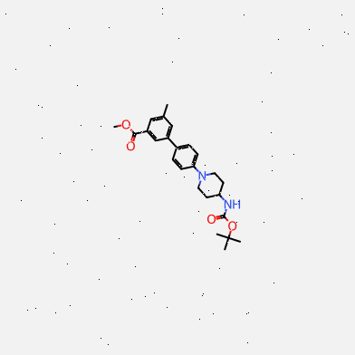 COC(=O)c1cc(C)cc(-c2ccc(N3CCC(NC(=O)OC(C)(C)C)CC3)cc2)c1